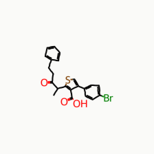 CC(C(=O)CCc1ccccc1)c1scc(-c2ccc(Br)cc2)c1C(=O)O